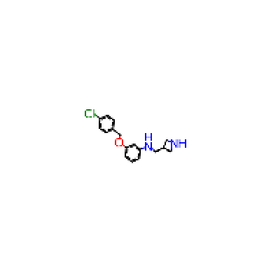 Clc1ccc(COc2cccc(NCC3CNC3)c2)cc1